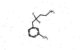 Cc1cccc(CC(F)(F)CCN)c1